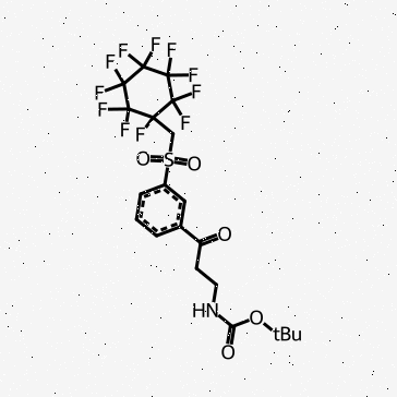 CC(C)(C)OC(=O)NCCC(=O)c1cccc(S(=O)(=O)CC2(F)C(F)(F)C(F)(F)C(F)(F)C(F)(F)C2(F)F)c1